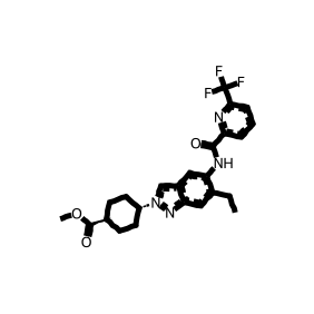 CCc1cc2nn([C@H]3CC[C@H](C(=O)OC)CC3)cc2cc1NC(=O)c1cccc(C(F)(F)F)n1